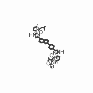 COC(=O)N[C@H](C(=O)N1[C@H](C)CC[C@H]1c1nc(-c2ccc(-c3ccc4cc(-c5c[nH]c([C@@H]6CC[C@@H](C)N6C(=O)CC(C)C)n5)ccc4c3)cc2)c[nH]1)C(C)C